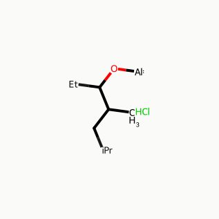 CCC([O][Al])C(C)CC(C)C.Cl